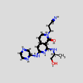 C[C@@H](CO)Nc1nc(Nc2cnccn2)cc2ccn(CCC#N)c(=O)c12